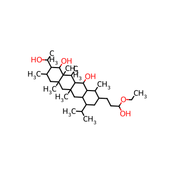 CCOC(O)CCC1CC(C(C)C)C2CC3(C)CC4(C)CC(C)C(C(C)O)C(O)C4(C)C(C)C3C(O)C2C1C